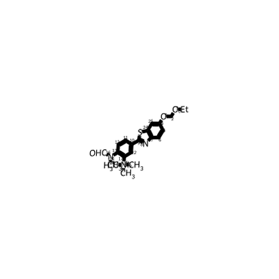 CCOCOc1ccc2nc(-c3ccc(N(C)C=O)c([N+](C)(C)C)c3)sc2c1